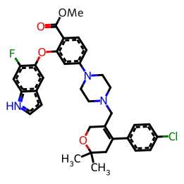 COC(=O)c1ccc(N2CCN(CC3=C(c4ccc(Cl)cc4)CC(C)(C)OC3)CC2)cc1Oc1cc2cc[nH]c2cc1F